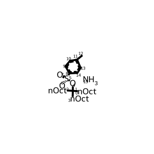 CCCCCCCCC(CCCCCCCC)(CCCCCCCC)OS(=O)(=O)c1ccc(C)cc1.N